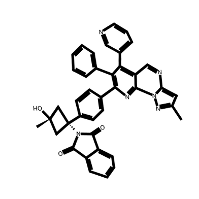 Cc1cc2ncc3c(-c4cccnc4)c(-c4ccccc4)c(-c4ccc([C@]5(N6C(=O)c7ccccc7C6=O)C[C@@](C)(O)C5)cc4)nc3n2n1